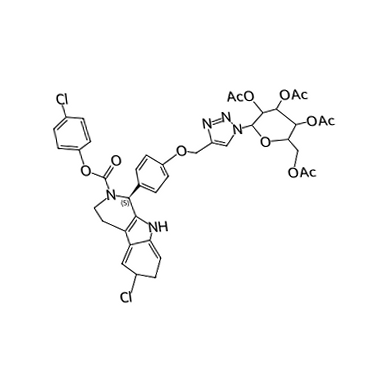 CC(=O)OCC1OC(n2cc(COc3ccc([C@H]4c5[nH]c6c(c5CCN4C(=O)Oc4ccc(Cl)cc4)=CC(Cl)CC=6)cc3)nn2)C(OC(C)=O)C(OC(C)=O)C1OC(C)=O